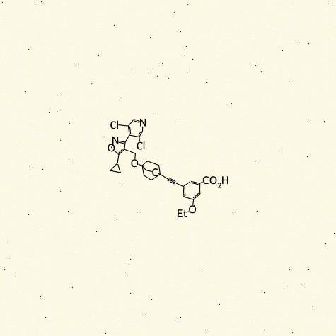 CCOc1cc(C#CC23CCC(OCc4c(-c5c(Cl)cncc5Cl)noc4C4CC4)(CC2)CC3)cc(C(=O)O)c1